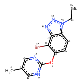 Cc1cnc(Oc2ccc3c(nnn3CC(C)(C)C)c2Br)nc1